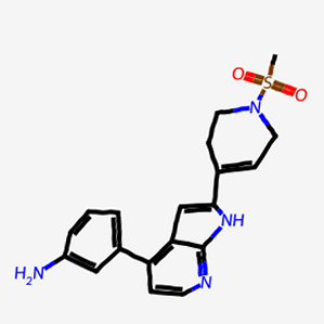 CS(=O)(=O)N1CC=C(c2cc3c(-c4cccc(N)c4)ccnc3[nH]2)CC1